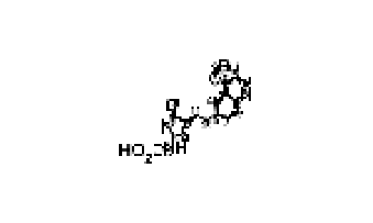 CCCCOc1ccnc2ccc(C/C=C3\SC(NC(=O)O)=NC3=O)cc12